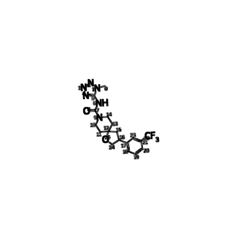 Cn1nnnc1NC(=O)N1CCC2(CC1)CC(c1cccc(C(F)(F)F)c1)CO2